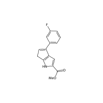 COC(=O)c1cc2c([nH]1)CC=C2c1cccc(F)c1